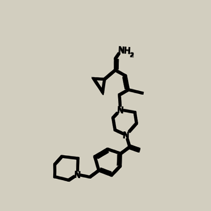 C=C(c1ccc(CN2CCCCC2)cc1)N1CCN(C/C(C)=C\C(=C/N)C2CC2)CC1